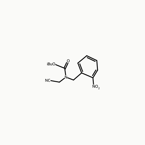 CC(C)COC(=O)N(CC#N)Cc1ccccc1[N+](=O)[O-]